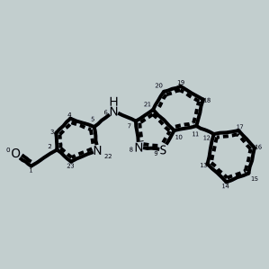 O=Cc1ccc(Nc2nsc3c(-c4ccccc4)cccc23)nc1